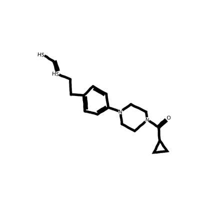 O=C(C1CC1)N1CCN(c2ccc(CC[SH]=CS)cc2)CC1